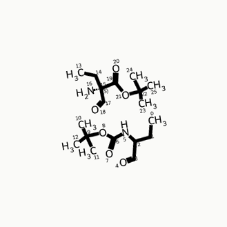 CCC(C=O)NC(=O)OC(C)(C)C.CC[C@](N)(C=O)C(=O)OC(C)(C)C